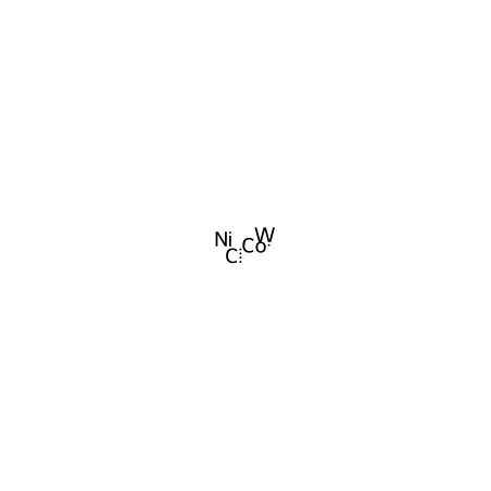 [C].[Co].[Ni].[W]